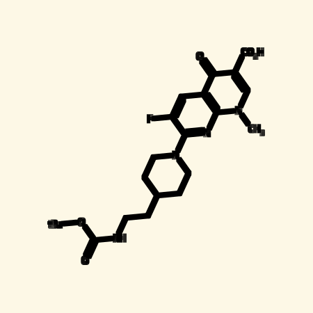 Cn1cc(C(=O)O)c(=O)c2cc(F)c(N3CCC(CCNC(=O)OC(C)(C)C)CC3)nc21